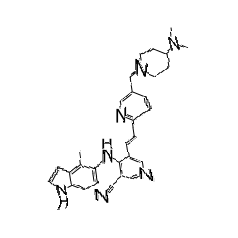 Cc1c(Nc2c(C#N)cncc2C=Cc2ccc(CN3CCC(N(C)C)CC3)cn2)ccc2[nH]ccc12